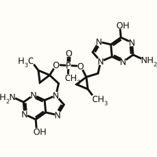 CC1CC1(Cn1cnc2c(O)nc(N)nc21)OP(C)(=O)OC1(Cn2cnc3c(O)nc(N)nc32)CC1C